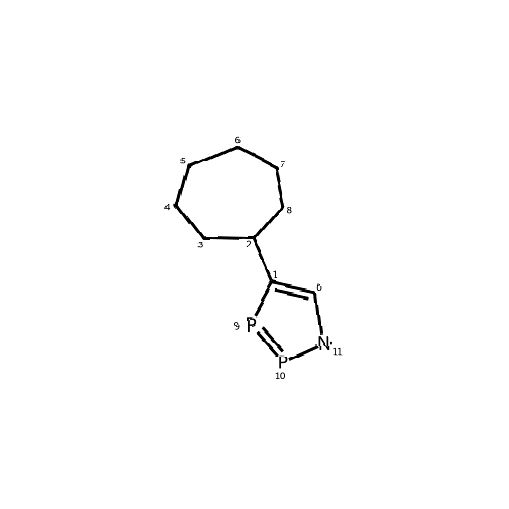 C1=C(C2CCCCCC2)P=P[N]1